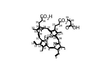 C=CC1=C(C)C2=NC/1=C\c1c(C)c(C=C)c3[n]1[Fe][n]1/c(c(C)c(CCC(=O)O)/c1=C/C1=NC(=C\3)/C(C)=C1CCC(=O)O)=C\2.CCC(=O)O